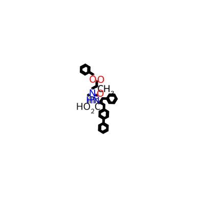 CC(C)CN(CC(C)C(=O)OCc1ccccc1)C(=O)N[C@@](Cc1ccccc1)(Cc1ccc(-c2ccccc2)cc1)C(=O)O